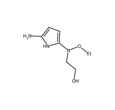 CCON(CCO)c1ccc(N)[nH]1